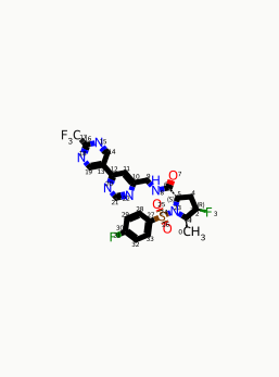 C[C@H]1[C@H](F)C[C@@H](C(=O)NCc2cc(-c3cnc(C(F)(F)F)nc3)ncn2)N1S(=O)(=O)c1ccc(F)cc1